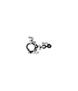 COc1ccccc1C1CCN(C(=O)O[C@@H]2C[C@H]3C(=O)N[C@]4(C(=O)O)C[C@H]4/C=C/CCCCC[C@H](NC(=O)OC(C)(C)C)C(=O)N3C2)CC1